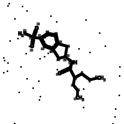 CCCC(CCC)C(=O)N[C@@H]1Cc2ccc(S(N)(=O)=O)cc2C1